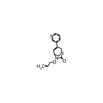 C=CCON1C(=O)N2CC(c3cccnc3)=CC1C2